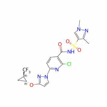 Cc1nn(C)cc1S(=O)(=O)NC(=O)c1ccc(-n2ccc(O[C@@H]3C[C@H]3C(F)(F)F)n2)nc1Cl